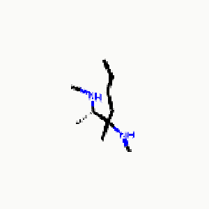 CCCCC(C)(NC)[C@H](C)NC